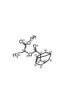 CCCOC(=O)C(C)OC(=O)C12CC3CC(CC(C3)C1)C2